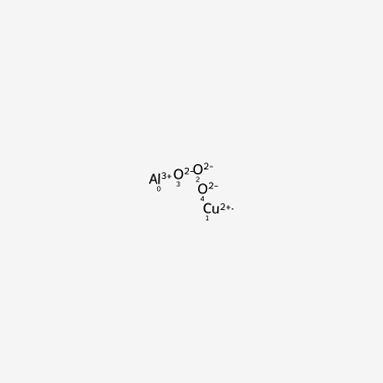 [Al+3].[Cu+2].[O-2].[O-2].[O-2]